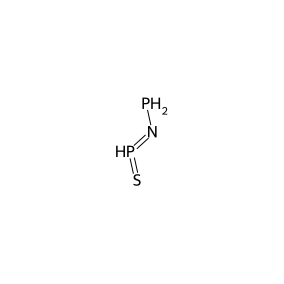 PN=[PH]=S